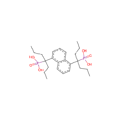 CCCC(CCC)(c1cccc2c(C(CCC)(CCC)P(=O)(O)O)cccc12)P(=O)(O)O